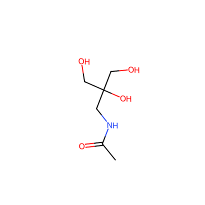 CC(=O)NCC(O)(CO)CO